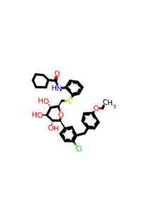 CCOc1ccc(Cc2cc([C@@H]3O[C@H](CSc4ccccc4NC(=O)C4CCCCC4)[C@@H](O)[C@H](O)[C@H]3O)ccc2Cl)cc1